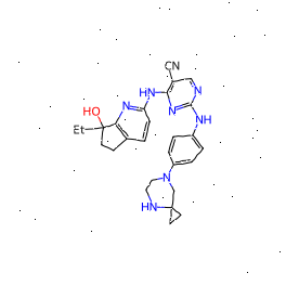 CCC1(O)CCc2ccc(Nc3nc(Nc4ccc(N5CCNC6(CC6)C5)cc4)ncc3C#N)nc21